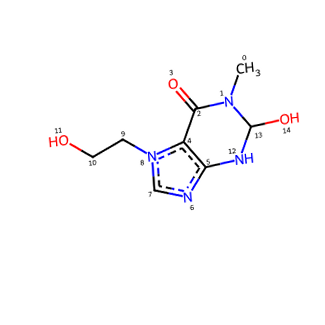 CN1C(=O)c2c(ncn2CCO)NC1O